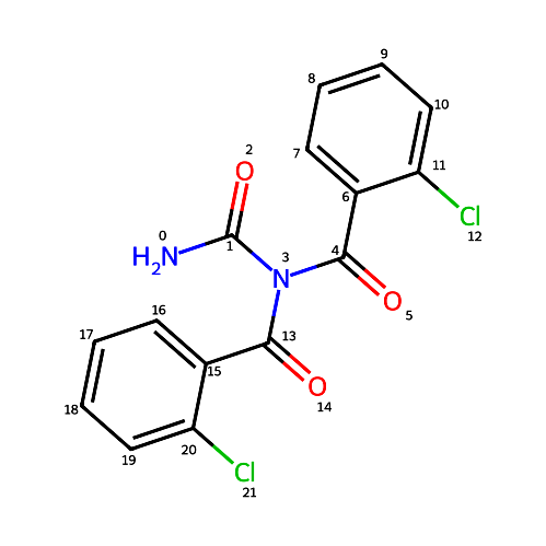 NC(=O)N(C(=O)c1ccccc1Cl)C(=O)c1ccccc1Cl